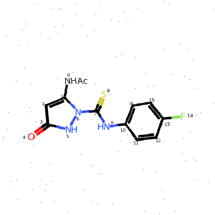 CC(=O)Nc1cc(=O)[nH]n1C(=S)Nc1ccc(F)cc1